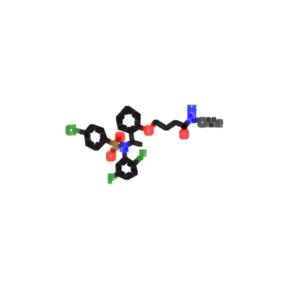 CONC(=O)CCCOc1ccccc1C(C)N(c1cc(F)ccc1F)S(=O)(=O)c1ccc(Cl)cc1